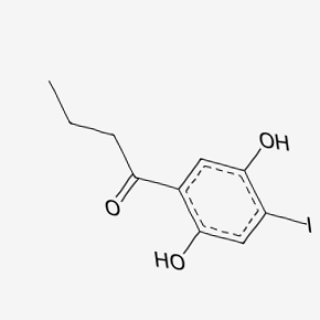 CCCC(=O)c1cc(O)c(I)cc1O